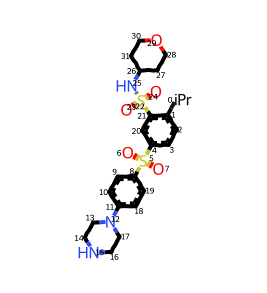 CC(C)c1ccc(S(=O)(=O)c2ccc(N3CCNCC3)cc2)cc1S(=O)(=O)NC1CCOCC1